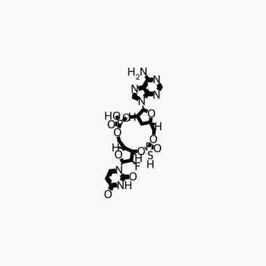 Nc1ncnc2c1ncn2[C@@H]1O[C@@H]2COP(=O)(S)O[C@H]3[C@@H](F)[C@H](n4ccc(=O)[nH]c4=O)O[C@@H]3COP(=O)(O)O[C@@H]1C2